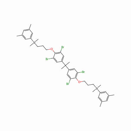 Cc1cc(C)cc([Si](C)(C)CCCOc2c(Br)cc(C(C)(C)c3cc(Br)c(OCCC[Si](C)(C)c4cc(C)cc(C)c4)c(Br)c3)cc2Br)c1